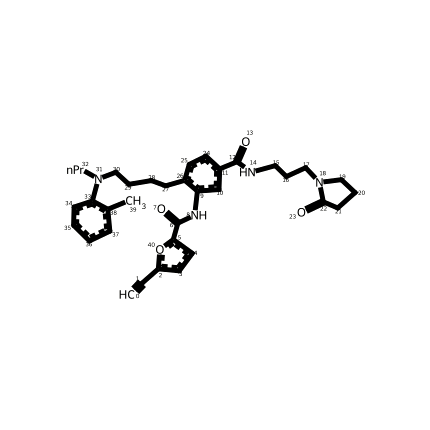 C#Cc1ccc(C(=O)Nc2cc(C(=O)NCCCN3CCCC3=O)ccc2CCCCN(CCC)c2ccccc2C)o1